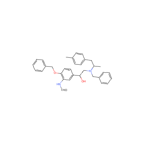 Cc1ccc(CC(C)N(Cc2ccccc2)CC(O)c2ccc(OCc3ccccc3)c(NC=O)c2)cc1